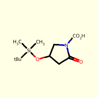 CC(C)(C)[Si](C)(C)OC1CC(=O)N(C(=O)O)C1